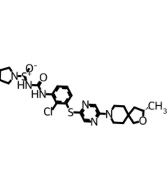 C[C@H]1CC2(CCN(c3cnc(Sc4cccc(NC(=O)N[S+]([O-])N5CCCC5)c4Cl)cn3)CC2)CO1